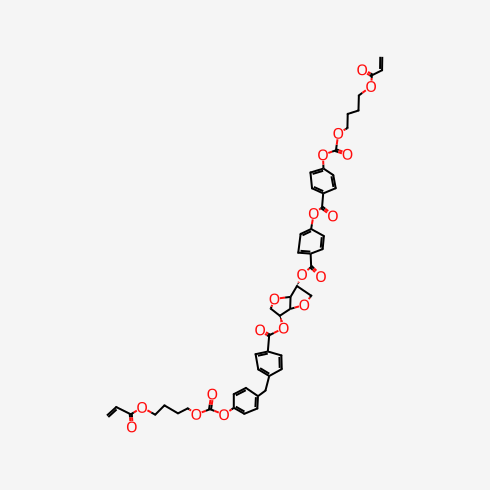 C=CC(=O)OCCCCOC(=O)Oc1ccc(Cc2ccc(C(=O)O[C@H]3COC4C3OC[C@H]4OC(=O)c3ccc(OC(=O)c4ccc(OC(=O)OCCCCOC(=O)C=C)cc4)cc3)cc2)cc1